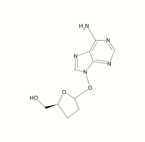 Nc1ncnc2c1ncn2OC1CC[C@@H](CO)O1